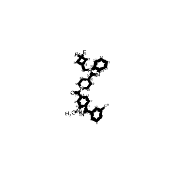 Cn1nc(-c2cccc(F)c2)c2ccc(C(=O)N3CCC(c4nc5ccccc5n4CC4CC(F)(F)C4)CC3)cc21